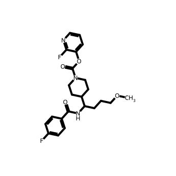 COCCCC(NC(=O)c1ccc(F)cc1)C1CCN(C(=O)Oc2cccnc2F)CC1